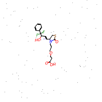 O=C(O)CCOCCCN1C(=O)SCC1/C=C/C(O)C(F)(F)c1ccccc1